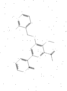 COc1ncccc1CNc1cc(-c2ccc[nH]c2=O)nc(C(C)=N)c1NC(C)C